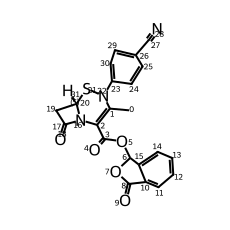 CC1=C(C(=O)OC2OC(=O)c3ccccc32)N2C(=O)C[C@@H]2SN1c1ccc(C#N)cc1